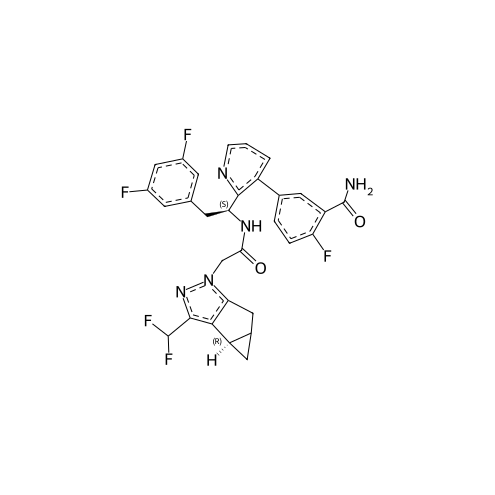 NC(=O)c1cc(-c2cccnc2[C@H](Cc2cc(F)cc(F)c2)NC(=O)Cn2nc(C(F)F)c3c2CC2C[C@@H]32)ccc1F